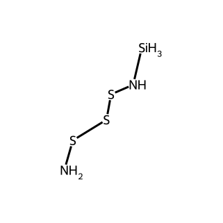 NSSSN[SiH3]